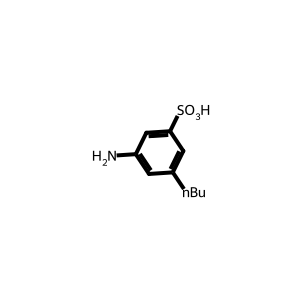 CCCCc1cc(N)cc(S(=O)(=O)O)c1